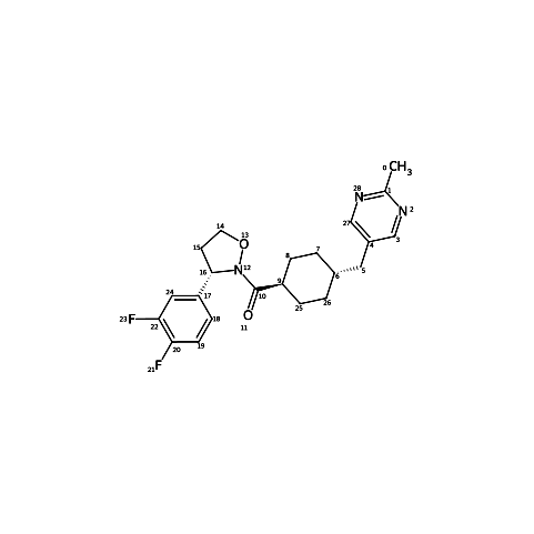 Cc1ncc(C[C@H]2CC[C@H](C(=O)N3OCC[C@H]3c3ccc(F)c(F)c3)CC2)cn1